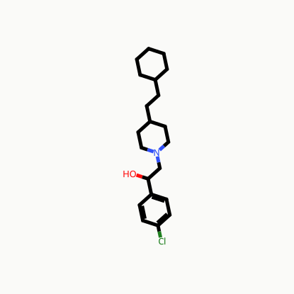 OC(CN1CCC(CCC2CCCCC2)CC1)c1ccc(Cl)cc1